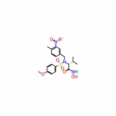 COc1ccc(S(=O)(=O)N(Cc2ccc(C)c([N+](=O)[O-])c2)[C@@H](C(=O)NO)C(C)C)cc1